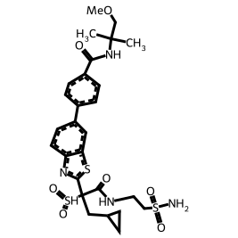 COCC(C)(C)NC(=O)c1ccc(-c2ccc3nc(C(CC4CC4)(C(=O)NCCS(N)(=O)=O)[SH](=O)=O)sc3c2)cc1